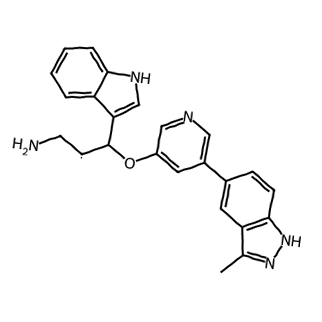 Cc1n[nH]c2ccc(-c3cncc(OC([CH]CN)c4c[nH]c5ccccc45)c3)cc12